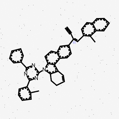 C#C/C(=C\c1ccc2ccccc2c1C)c1ccc2c(ccc3c2c2c(n3-c3nc(-c4ccccc4)nc(-c4ccccc4C)n3)CCC=C2)c1